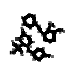 Nc1cccc(C=Cc2ccccc2)c1N.O=C1C=CN(Cc2ccc(F)cc2)C(S(=O)(=O)O)N1